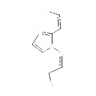 C/C=C\c1nccn1/N=C\CC(C)C